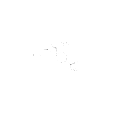 C/C=C\CC1(C(=O)OC)CCC(C(=O)OC)CC1